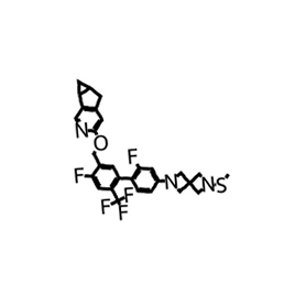 CSN1CC2(C1)CN(c1ccc(-c3cc(COc4cc5c(cn4)C4CC4C5)c(F)cc3C(F)(F)F)c(F)c1)C2